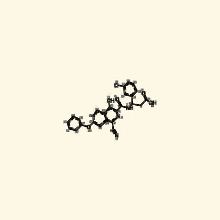 N#Cc1nc(C(=O)NC(CC(=O)O)c2cccc(Cl)c2)c(O)c2ccc(Oc3ccccc3)cc12